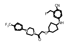 N#Cc1ccc(NC2CCC(OCC(=O)N3CCN(c4ccc(C(F)(F)F)cc4)CC3)CC2)cc1CF